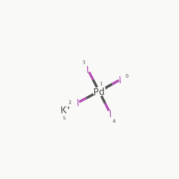 [I][Pd-]([I])([I])[I].[K+]